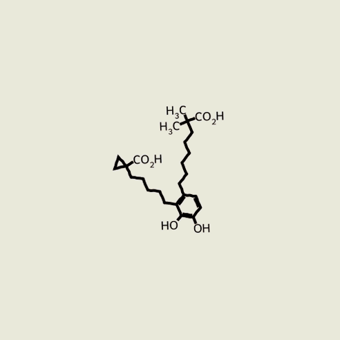 CC(C)(CCCCCCc1ccc(O)c(O)c1CCCCCC1(C(=O)O)CC1)C(=O)O